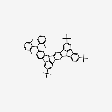 Cc1ccccc1N(c1ccc2c3cc(C(C)(C)C)cc4c5cc6c(cc5n(c2c1)c34)c1cc(C(C)(C)C)cc2c3cc(C(C)(C)C)ccc3n6c21)c1c(C)cccc1C